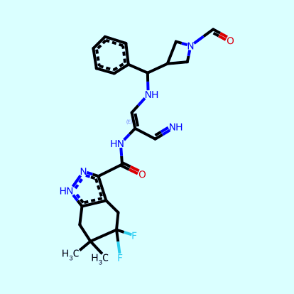 CC1(C)Cc2[nH]nc(C(=O)N/C(C=N)=C/NC(c3ccccc3)C3CN(C=O)C3)c2CC1(F)F